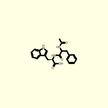 CC(=O)NC(Cc1[c]cccc1)C(=O)N[C@H](Cc1c[nH]c2ccccc12)C(=O)O